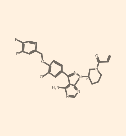 C=CC(=O)N1CCC[C@@H](n2nc(-c3ccc(OCc4ccc(F)c(F)c4)c(Cl)c3)c3c(N)ncnc32)C1